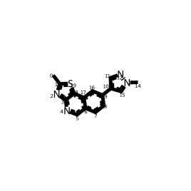 Cc1nc2ncc3ccc(-c4cnn(C)c4)cc3c2s1